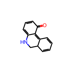 O=C1C=CC=C2NCC3C=CC=CC3=C12